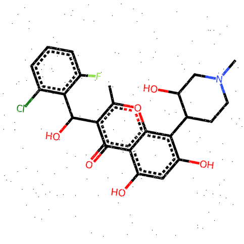 Cc1oc2c(C3CCN(C)CC3O)c(O)cc(O)c2c(=O)c1C(O)c1c(F)cccc1Cl